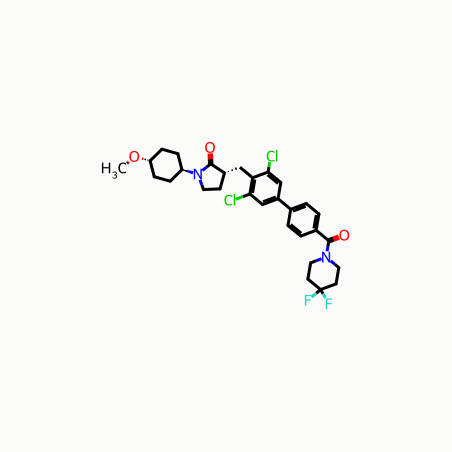 CO[C@H]1CC[C@H](N2CC[C@@H](Cc3c(Cl)cc(-c4ccc(C(=O)N5CCC(F)(F)CC5)cc4)cc3Cl)C2=O)CC1